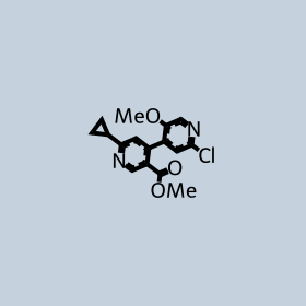 COC(=O)c1cnc(C2CC2)cc1-c1cc(Cl)ncc1OC